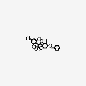 Cc1cc(Cl)cc(Cl)c1C1=C(O)C2(CCC(OCc3ccccc3)CC2)OC1=O